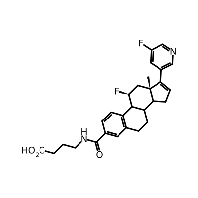 C[C@]12C[C@H](F)C3c4ccc(C(=O)NCCCC(=O)O)cc4CCC3C1CC=C2c1cncc(F)c1